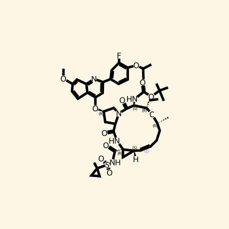 CC[C@@H]1C[C@H](C)CC/C=C\[C@@H]2C[C@@]2(C(=O)NS(=O)(=O)C2(C)CC2)NC(=O)C2C[C@@H](Oc3cc(-c4ccc(OC(C)C)c(F)c4)nc4cc(OC)ccc34)CN2C(=O)[C@H]1NC(=O)OC(C)(C)C